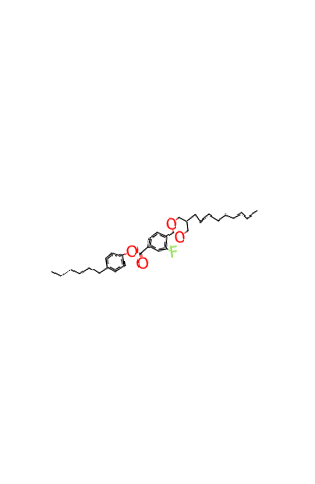 CCCCCCCCCC1COC(c2ccc(C(=O)Oc3ccc(CCCCCC)cc3)cc2F)OC1